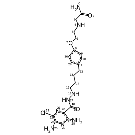 NC(=O)CNCCOc1ccc(CCCCNNC(=O)c2nc(Cl)c(N)nc2N)cc1